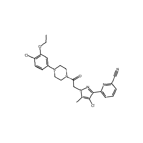 CCOc1cc(N2CCN(C(=O)Cn3nc(-c4cccc(C#N)n4)c(Cl)c3C)CC2)ccc1Cl